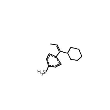 C/C=C(\c1ccc([SiH3])cc1)C1CCCCC1